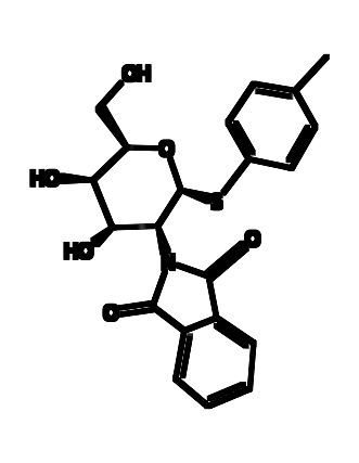 Cc1ccc(S[C@@H]2O[C@H](CO)[C@H](O)[C@H](O)[C@@H]2N2C(=O)c3ccccc3C2=O)cc1